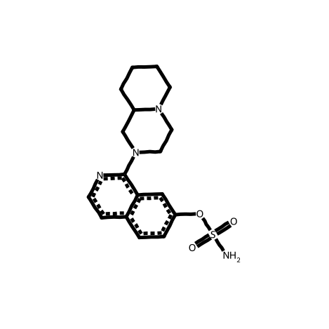 NS(=O)(=O)Oc1ccc2ccnc(N3CCN4CCCCC4C3)c2c1